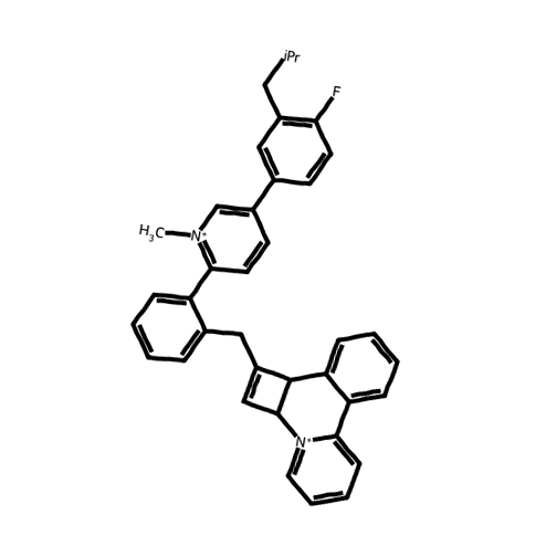 CC(C)Cc1cc(-c2ccc(-c3ccccc3CC3=CC4C3c3ccccc3-c3cccc[n+]34)[n+](C)c2)ccc1F